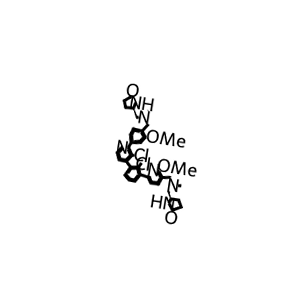 COc1cc(-c2nccc(-c3cccc(-c4ccc(CN(C)C[C@H]5CCC(=O)N5)c(OC)n4)c3Cl)c2Cl)ccc1CN(C)C[C@H]1CCC(=O)N1